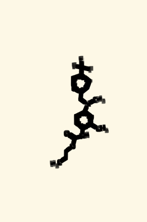 CCCOC(=O)Nc1ccc(N(C)Cc2ccc(C(F)(F)F)cc2)cc1C